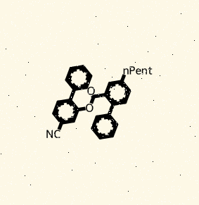 CCCCCc1ccc(-c2ccccc2)c(C(=O)Oc2cc(C#N)ccc2-c2ccccc2)c1